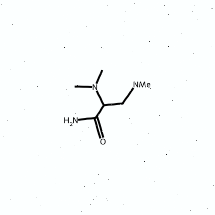 CNCC(C(N)=O)N(C)C